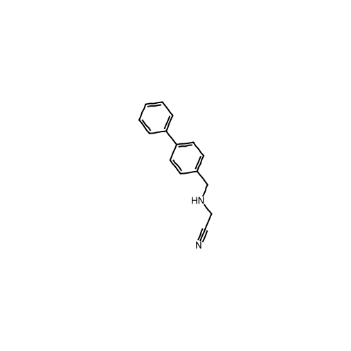 N#CCNCc1ccc(-c2ccccc2)cc1